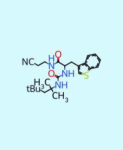 CC(C)(C)CC(C)(C)NC(=O)NC(Cc1csc2ccccc12)C(=O)NCCC#N